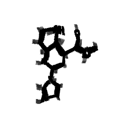 COC(=O)c1cc(-n2ccnc2)nc2cc[nH]c12